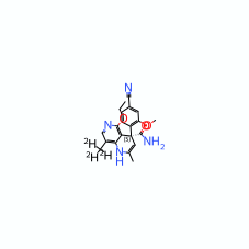 [2H]C([2H])([2H])c1cnc(OCC)c2c1NC(C)=C[C@]2(C(N)=O)c1ccc(C#N)cc1OC